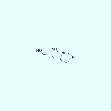 N[C@@H](CO)Cc1ccncc1